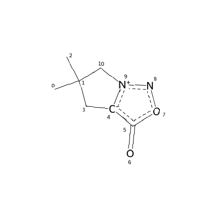 CC1(C)C[c-]2c(=O)on[n+]2C1